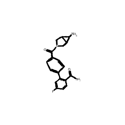 NC(=O)c1ccc(F)cc1-c1ccc(C(=O)N2CC3C(N)C3C2)cc1